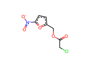 O=C(CCl)OCc1ccc([N+](=O)[O-])o1